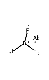 FB(F)F.[Al]